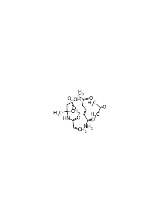 C=CC(=O)NC(C)(C)CS(=O)(=O)O.CC(=O)CC=CC(N)=O.CC(C)=O